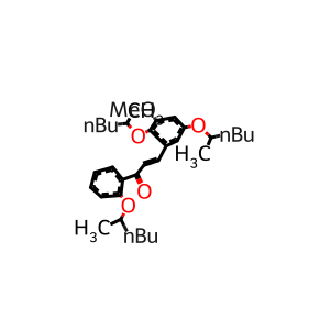 CCCCC(C)Oc1cc(C=CC(=O)c2ccccc2OC(C)CCCC)c(OC(C)CCCC)c(OC)c1